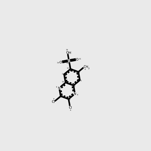 Cc1cc2nc(Cl)c(Cl)nc2cc1S(=O)(=O)O